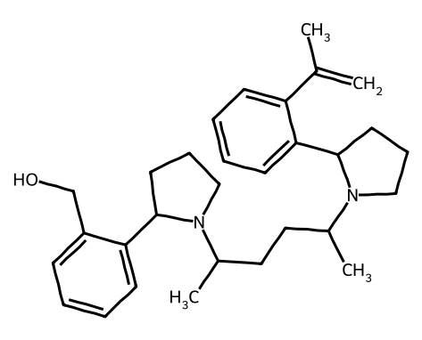 C=C(C)c1ccccc1C1CCCN1C(C)CCC(C)N1CCCC1c1ccccc1CO